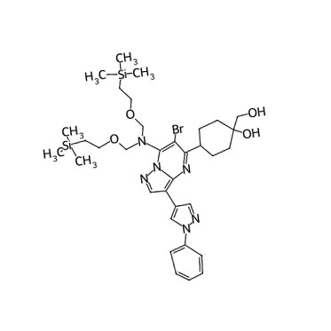 C[Si](C)(C)CCOCN(COCC[Si](C)(C)C)c1c(Br)c(C2CCC(O)(CO)CC2)nc2c(-c3cnn(-c4ccccc4)c3)cnn12